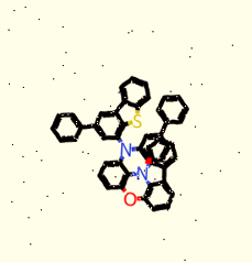 c1ccc(-c2cccc(N(c3cccc4c3-n3c5ccccc5c5cccc(c53)O4)c3cc(-c4ccccc4)cc4c3sc3ccccc34)c2)cc1